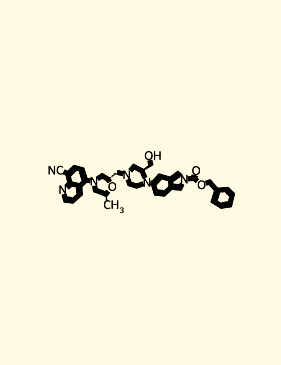 C[C@@H]1CN(c2ccc(C#N)c3ncccc23)C[C@H](CN2CCN(c3ccc4cn(C(=O)OCc5ccccc5)cc4c3)[C@H](CO)C2)O1